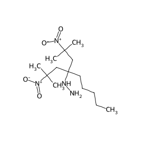 CCCCCC(CC(C)(C)[N+](=O)[O-])(CC(C)(C)[N+](=O)[O-])NN